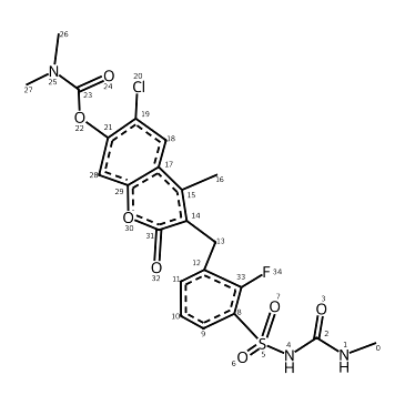 CNC(=O)NS(=O)(=O)c1cccc(Cc2c(C)c3cc(Cl)c(OC(=O)N(C)C)cc3oc2=O)c1F